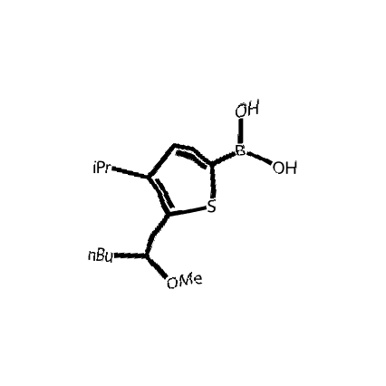 CCCCC(OC)c1sc(B(O)O)cc1C(C)C